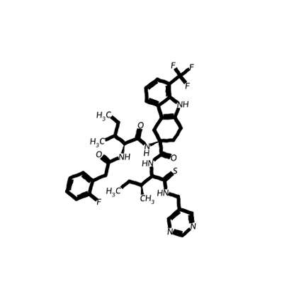 CCC(C)[C@H](NC(=O)Cc1ccccc1F)C(=O)N[C@]1(C(=O)NC(C(=S)NCc2cncnc2)[C@@H](C)CC)CCc2[nH]c3c(C(F)(F)F)cccc3c2C1